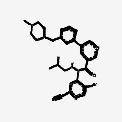 CC(C)CNN(C(=O)c1cncc(-c2cccc(CN3CCN(C)CC3)c2)c1)c1nc(C#N)ncc1Br